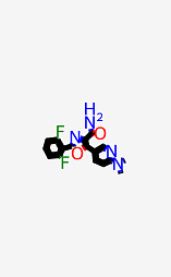 CN(C)c1ccc(-c2oc(-c3c(F)cccc3F)nc2C(N)=O)cn1